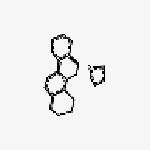 C1=c2ccc3c(c2CCC1)CC=c1ccccc1=3.c1ccsc1